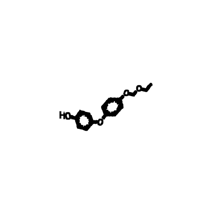 CCOCOc1ccc(Oc2ccc(O)cc2)cc1